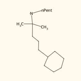 CCCCC[N]C(C)(C)CCCC1CCCCC1